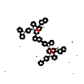 c1ccc(-c2ccc(N(c3ccc(-n4c5ccccc5c5cc(-c6ccc7c(-c8cccc(N(c9ccc(-n%10c%11ccccc%11c%11ccccc%11%10)cc9)c9ccccc9-c9cccc%10oc%11c%12ccccc%12ccc%11c9%10)c8)cccc7c6)ccc54)cc3)c3ccccc3-c3cccc4oc5c6ccccc6ccc5c34)cc2)cc1